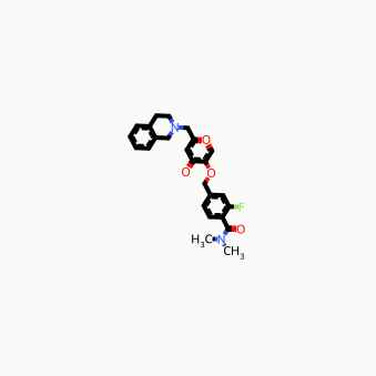 CN(C)C(=O)c1ccc(COc2coc(CN3CCc4ccccc4C3)cc2=O)cc1F